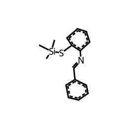 C[Si](C)(C)Sc1ccccc1N=Cc1ccccc1